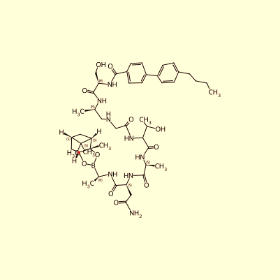 CCCCc1ccc(-c2ccc(C(=O)N[C@H](CO)C(=O)N[C@H](C)CNCC(=O)NC(C(=O)N[C@@H](C)C(=O)N[C@@H](CC(N)=O)C(=O)N[C@@H](C)B3O[C@@H]4C[C@@H]5C[C@@H](C5(C)C)[C@]4(C)O3)C(C)O)cc2)cc1